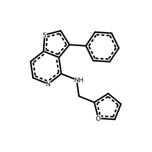 c1ccc(-c2csc3ccnc(NCc4ccco4)c23)cc1